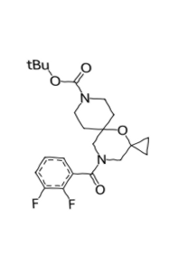 CC(C)(C)OC(=O)N1CCC2(CC1)CN(C(=O)c1cccc(F)c1F)CC1(CC1)O2